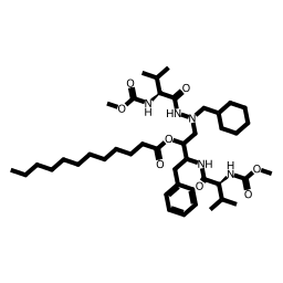 CCCCCCCCCCCC(=O)OC(CN(CC1CCCCC1)NC(=O)[C@@H](NC(=O)OC)C(C)C)C(Cc1ccccc1)NC(=O)[C@@H](NC(=O)OC)C(C)C